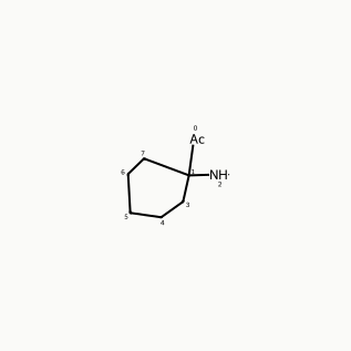 CC(=O)C1([NH])CCCCC1